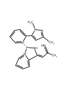 CC(=N)/C=C1\N[P@@]([n+]2ccccc2-c2cc(C)nn2C)[n+]2ccccc21